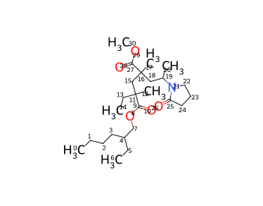 CCCCC(CC)COC(=O)C(C)(CC)CC(C)(CC(C)N1CCCC1=O)C(=O)OC